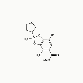 COC(=O)c1cc(Br)c2c(c1C)OC(C)(C1CCOC1)O2